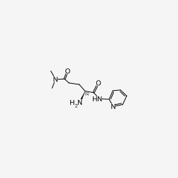 CN(C)C(=O)CC[C@H](N)C(=O)Nc1ccccn1